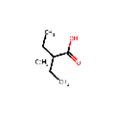 CCC(CC)C(=O)O.[CaH2]